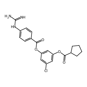 N=C(N)Nc1ccc(C(=O)Oc2cc(Cl)cc(OC(=O)C3CCCC3)c2)cc1